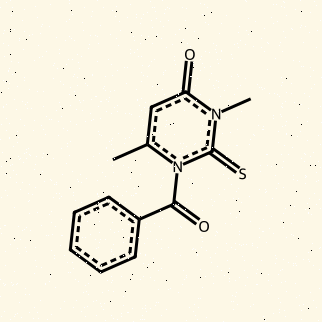 Cc1cc(=O)n(C)c(=S)n1C(=O)c1ccccc1